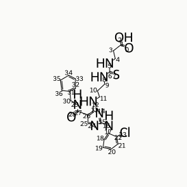 O=C(O)CCNC(=S)NCCCNc1nc(Nc2ccccc2Cl)ncc1C(=O)NCc1ccccc1